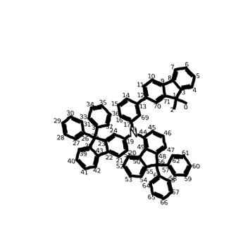 CC1(C)c2ccccc2-c2ccc(-c3cccc(N(c4ccc5c(c4)C(c4ccccc4)(c4ccccc4)c4ccccc4-5)c4cccc5c4-c4ccccc4C5(c4ccccc4)c4ccccc4)c3)cc21